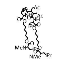 CNC(CC(C)C)C(=O)OCCCCCCOC(=O)C(CC(C)C)NC(=O)C(CC(C)=O)C(CC(C)=O)C(=O)NC(CC(C)C)C(=O)OCCCCCCOC(=O)C(CC(C)C)NC